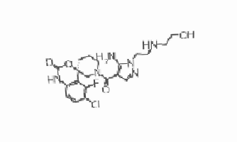 Nc1c(C(=O)N2CCC[C@@]3(C2)OC(=O)Nc2ccc(Cl)c(F)c23)cnn1CCNCCO